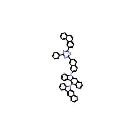 c1ccc(-c2nc(-c3ccc4ccc(-n5c6ccccc6c6c(-n7c8ccccc8c8cc9ccccc9cc87)c7ccccc7cc65)cc4c3)nc(-c3ccc4ccc5ccccc5c4c3)n2)cc1